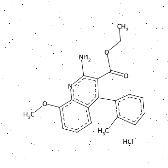 CCOC(=O)c1c(N)nc2c(OC)cccc2c1-c1ccccc1C.Cl